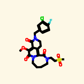 COc1c2c(c3n(c1=O)CCCCN(CCS(C)(=O)=O)C3=O)CCN(Cc1ccc(F)c(Cl)c1)C2=O